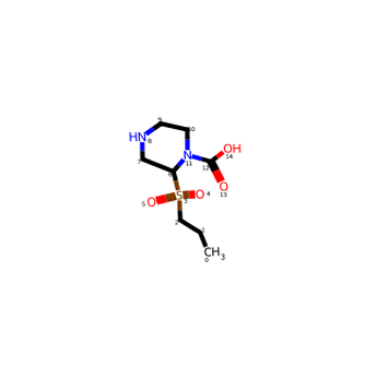 CCCS(=O)(=O)C1CNCCN1C(=O)O